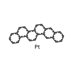 [Pt].c1ccc2cc3c(ccc4c3ccc3c5ccccc5ccc34)cc2c1